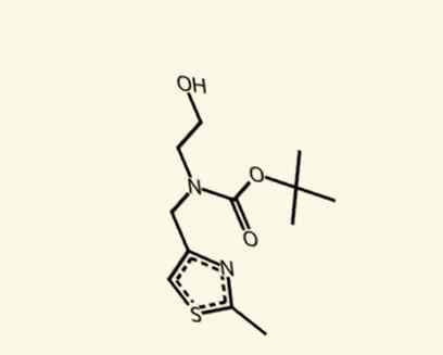 Cc1nc(CN(CCO)C(=O)OC(C)(C)C)cs1